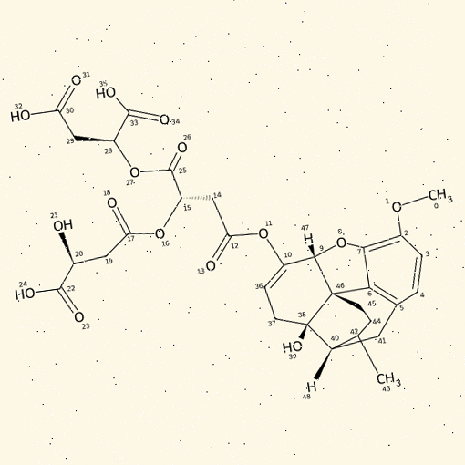 COc1ccc2c3c1O[C@H]1C(OC(=O)C[C@H](OC(=O)C[C@H](O)C(=O)O)C(=O)O[C@@H](CC(=O)O)C(=O)O)=CC[C@@]4(O)[C@@H](C2)C(C)CC[C@]314